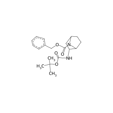 CC(C)(C)OC(=O)NC1CC2CCC1N2C(=O)OCc1ccccc1